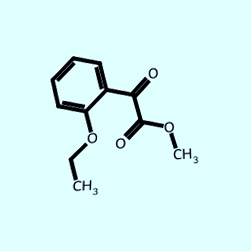 CCOc1ccccc1C(=O)C(=O)OC